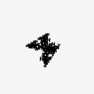 CCOC(C)(Nc1ccc(C(=CC2(C=C(c3ccc(NC(C)(OCC)OCC)cc3)c3ccc(NC(C)(OCC)OCC)cc3)OC(=O)c3c(Cl)c(Cl)c(Cl)c(Cl)c32)c2ccc(NC(C)(OCC)OCC)cc2)cc1)OCC